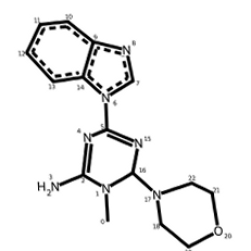 CN1C(N)=NC(n2cnc3ccccc32)=NC1N1CCOCC1